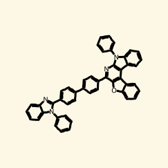 c1ccc(-n2c(-c3ccc(-c4ccc(-c5nc6c(c7ccccc7n6-c6ccccc6)c6c5oc5ccccc56)cc4)cc3)nc3ccccc32)cc1